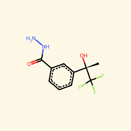 C[C@](O)(c1cccc(C(=O)NN)c1)C(F)(F)F